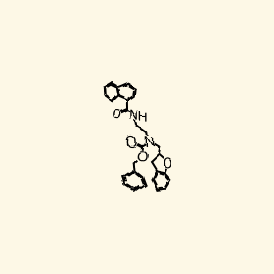 O=C(NCCN(CC1Cc2ccccc2O1)C(=O)OCc1ccccc1)c1cccc2ccccc12